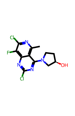 Cc1nc(Cl)c(F)c2nc(Cl)nc(N3CC[C@@H](O)C3)c12